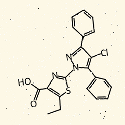 CCc1sc(-n2nc(-c3ccccc3)c(Cl)c2-c2ccccc2)nc1C(=O)O